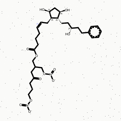 O=C(CCCO[N+](=O)[O-])CC(COC(=O)CCC/C=C\C[C@@H]1[C@@H](CC[C@@H](O)CCc2ccccc2)[C@H](O)C[C@@H]1O)CO[N+](=O)[O-]